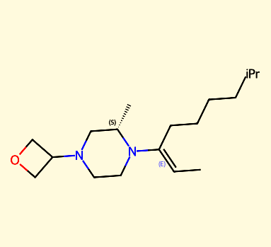 C/C=C(\CCCCC(C)C)N1CCN(C2COC2)C[C@@H]1C